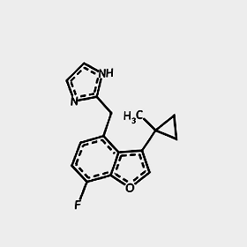 CC1(c2coc3c(F)ccc(Cc4ncc[nH]4)c23)CC1